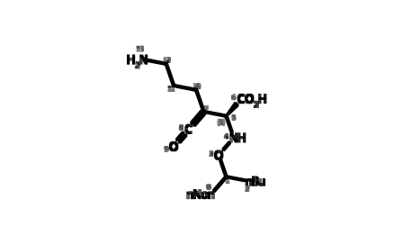 CCCCCCCCCC(CCCC)ON[C@H](C(=O)O)C(=C=O)CCCN